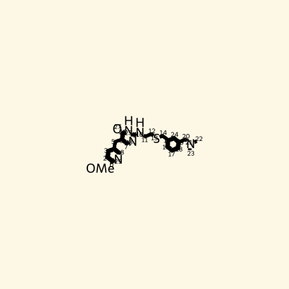 COc1ccc(Cc2cnc(NCCSCc3cccc(CN(C)C)c3)[nH]c2=O)cn1